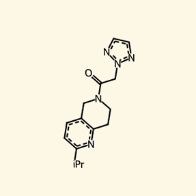 CC(C)c1ccc2c(n1)CCN(C(=O)Cn1nccn1)C2